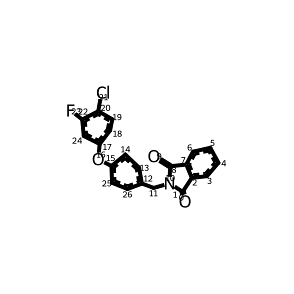 O=C1c2ccccc2C(=O)N1Cc1ccc(Oc2ccc(Cl)c(F)c2)cc1